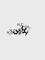 C=C/C=C\C(=C/C)S(=O)(=O)n1cc(C(F)F)c(=C/C)/c1=C\C=C